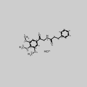 COc1cc(C(=O)CNC(=O)CCc2ccccc2)cc(OC)c1OC.Cl